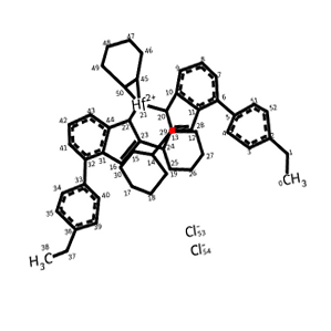 CCc1ccc(-c2cccc3c2C=C(C2CCCCC2)[CH]3[Hf+2]2([CH]3C(C4CCCCC4)=Cc4c(-c5ccc(CC)cc5)cccc43)[CH]3CCCC[CH]32)cc1.[Cl-].[Cl-]